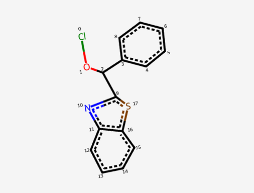 ClOC(c1ccccc1)c1nc2ccccc2s1